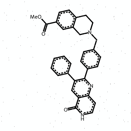 COC(=O)c1ccc2c(c1)CN(Cc1ccc(-c3nc4cc[nH]c(=O)c4cc3-c3ccccc3)cc1)CC2